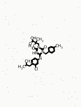 Cc1ccc(Cn2c(=O)n(CC(C)(C)C(=O)O)c(=O)[nH]/c2=N\c2ccc(CC(C)C)c(Cl)c2)cc1